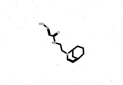 O=C(C=NO)NCCN1C=C=C2CCCC1C2